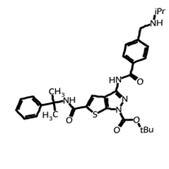 CC(C)NCc1ccc(C(=O)Nc2nn(C(=O)OC(C)(C)C)c3sc(C(=O)NC(C)(C)c4ccccc4)cc23)cc1